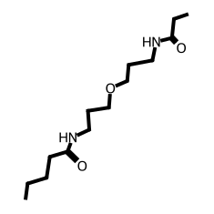 CCCCC(=O)NCCCOCCCNC(=O)CC